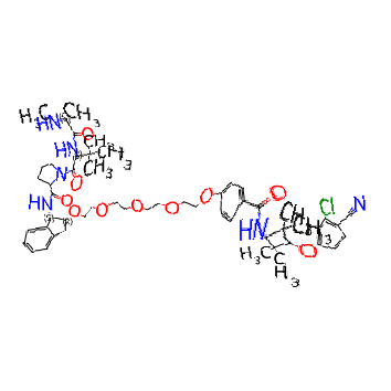 CN[C@@H](C)C(=O)N[C@H](C(=O)N1CCCC1C(=O)N[C@H]1c2ccccc2C[C@H]1OCCOCCOCCOCCOc1ccc(C(=O)N[C@H]2C(C)(C)[C@H](Oc3ccc(C#N)c(Cl)c3)C2(C)C)cc1)C(C)(C)C